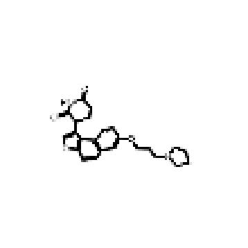 O=C1CC[C@@H](c2coc3ccc4cc(OCCCN5CCCC5)ccc4c23)C(=O)N1